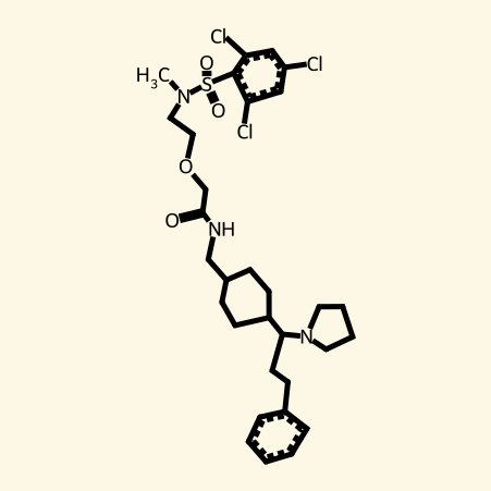 CN(CCOCC(=O)NCC1CCC(C(CCc2ccccc2)N2CCCC2)CC1)S(=O)(=O)c1c(Cl)cc(Cl)cc1Cl